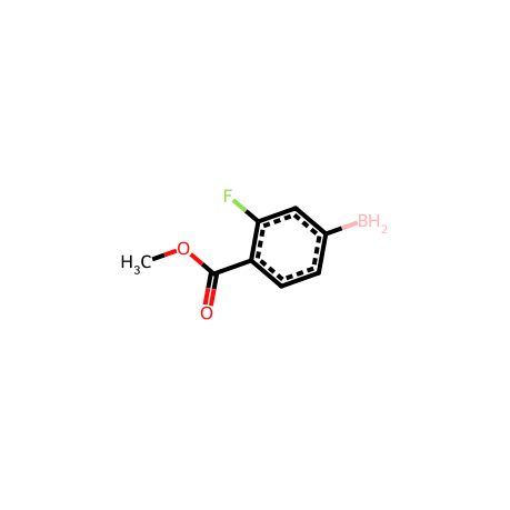 Bc1ccc(C(=O)OC)c(F)c1